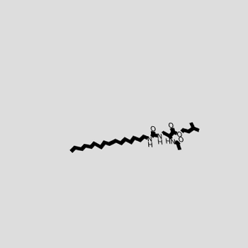 CCCCCCCCCCCCCCCCNC(=O)NCC(NC(C)=O)C(=O)OCCC(C)C